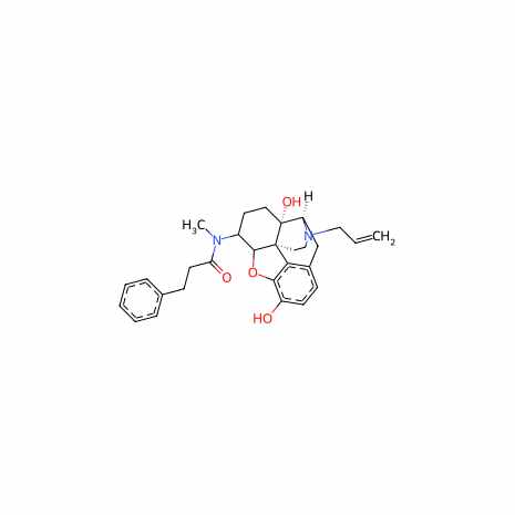 C=CCN1CC[C@]23c4c5ccc(O)c4OC2C(N(C)C(=O)CCc2ccccc2)CC[C@@]3(O)[C@H]1C5